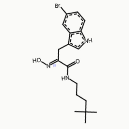 CC(C)(C)CCCNC(=O)/C(Cc1c[nH]c2ccc(Br)cc12)=N/O